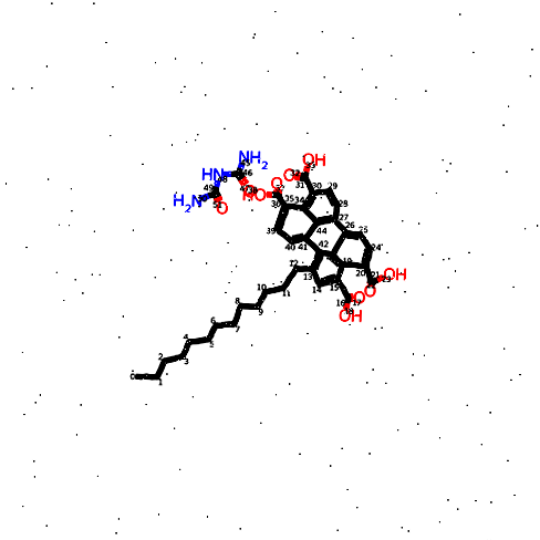 CCCCCCCCCCCCCc1cc(C(=O)O)c2c(C(=O)O)ccc3c4ccc(C(=O)O)c5c(C(=O)O)ccc(c1c23)c54.NC(=O)NC(N)=O